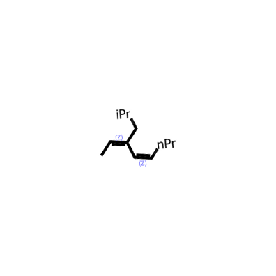 C/C=C(\C=C/CCC)CC(C)C